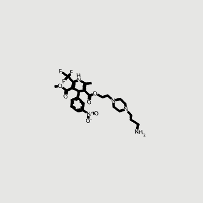 COC(=O)C1=C(C(F)(F)F)NC(C)=C(C(=O)OCCN2CCN(CCCN)CC2)C1c1cccc([N+](=O)[O-])c1